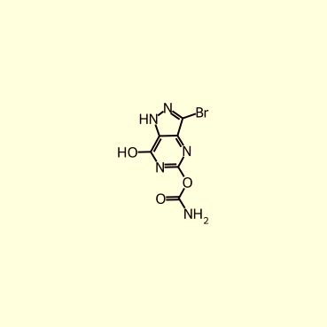 NC(=O)Oc1nc(O)c2[nH]nc(Br)c2n1